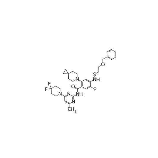 Cc1cc(N2CCC(F)(F)CC2)nc(NC(=O)c2cc(F)c(NSCCOCc3ccccc3)cc2N2CCC3(CC2)CC3)n1